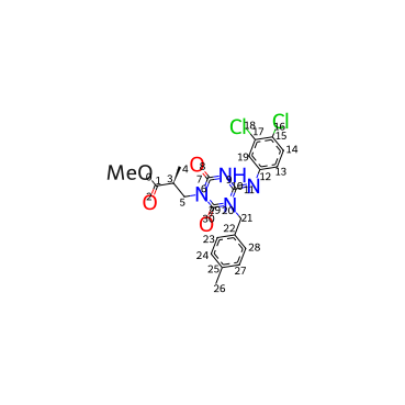 COC(=O)[C@@H](C)Cn1c(=O)[nH]/c(=N\c2ccc(Cl)c(Cl)c2)n(Cc2ccc(C)cc2)c1=O